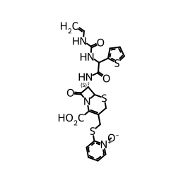 C=CNC(=O)NC(C(=O)N[C@H]1C(=O)N2C(C(=O)O)=C(CSc3cccc[n+]3[O-])CSC12)c1cccs1